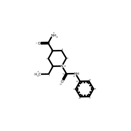 CCC1CC(C(N)=O)CCN1C(=O)Nc1ccccc1